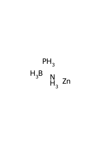 B.N.P.[Zn]